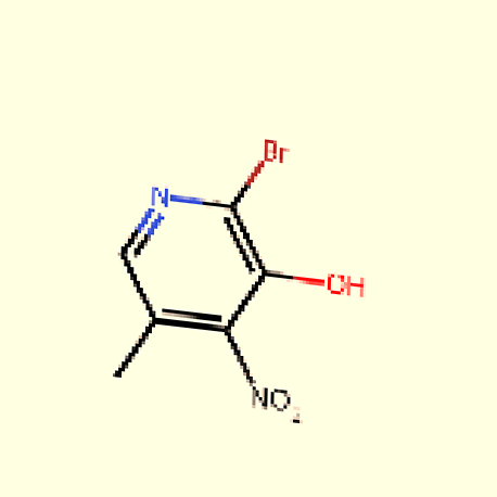 Cc1cnc(Br)c(O)c1[N+](=O)[O-]